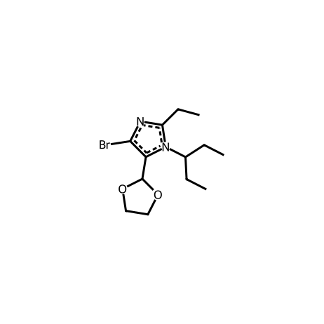 CCc1nc(Br)c(C2OCCO2)n1C(CC)CC